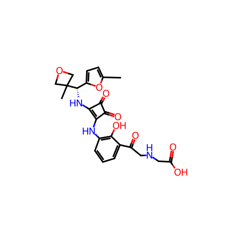 Cc1ccc([C@H](Nc2c(Nc3cccc(C(=O)CNCC(=O)O)c3O)c(=O)c2=O)C2(C)COC2)o1